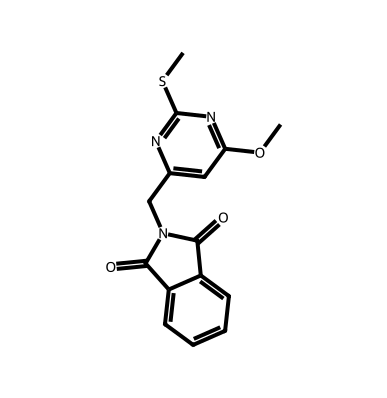 COc1cc(CN2C(=O)c3ccccc3C2=O)nc(SC)n1